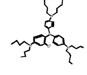 CCCCN(CCCC)c1ccc(N(c2ccc(N(CCCC)CCCC)cc2)c2ccc(N(CCCC)CCCC)cc2Cl)cc1